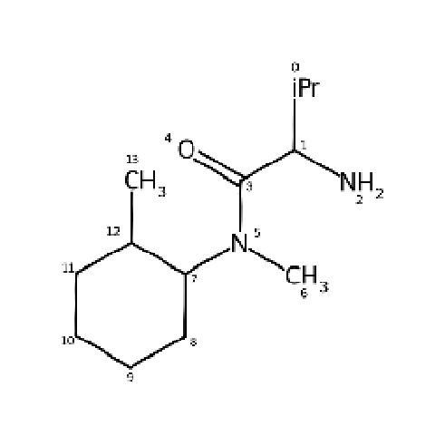 CC(C)C(N)C(=O)N(C)C1CCCCC1C